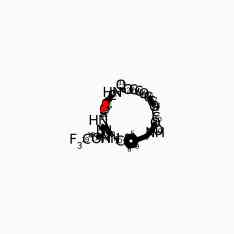 O=C1NCc2ccc(cc2)CNc2nc(nc(OCC(F)(F)F)n2)Nc2ccc(cc2)CNC(=O)OCCOCCOCCO1